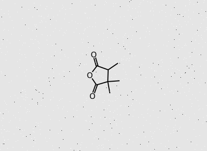 CC1C(=O)OC(=O)C1(C)C